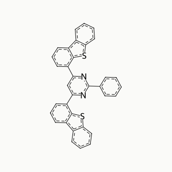 c1ccc(-c2nc(-c3cccc4c3sc3ccccc34)cc(-c3cccc4c3sc3ccccc34)n2)cc1